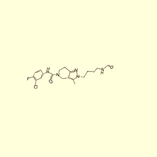 Cc1c2c(nn1CCCCNC=O)CCN(C(=O)Nc1ccc(F)c(Cl)c1)C2